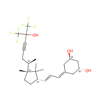 C[C@H](CC#CC(O)(C(F)(F)F)C(F)(F)F)[C@@]1(C)CC[C@@H](C=CC=C2C[C@@H](O)C[C@H](O)C2)C1(C)C